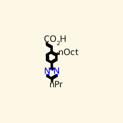 CCCCCCCCc1cc(-c2ncc(CCC)cn2)ccc1C=CC(=O)O